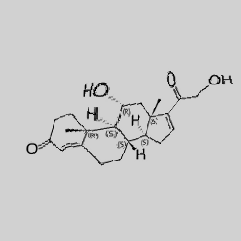 C[C@]12CCC(=O)C=C1CC[C@@H]1[C@@H]2[C@H](O)C[C@]2(C)C(C(=O)CO)=CC[C@@H]12